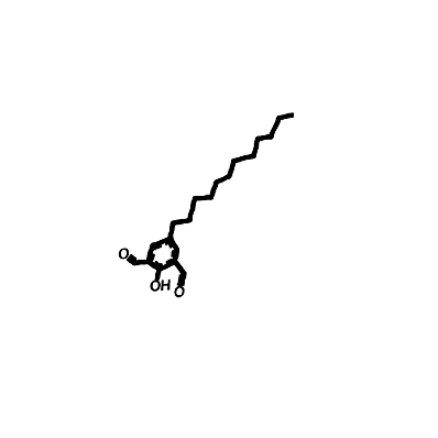 CCCCCCCCCCCCc1cc(C=O)c(O)c(C=O)c1